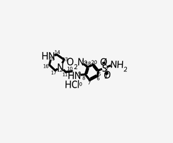 Cl.NS(=O)(=O)c1ccc(NCCN2CCNCC2)c([N+](=O)[O-])c1